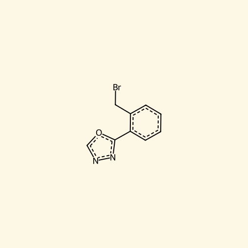 BrCc1ccccc1-c1nnco1